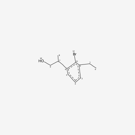 CCc1cccc([C](C)CO)c1Br